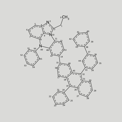 CCc1nc2cccc3c2n1-c1ccc(-c2ccc4c(-c5ccccc5)c5ccccc5c(-c5cccc(-c6ccccc6)c5)c4c2)cc1N3c1ccccc1